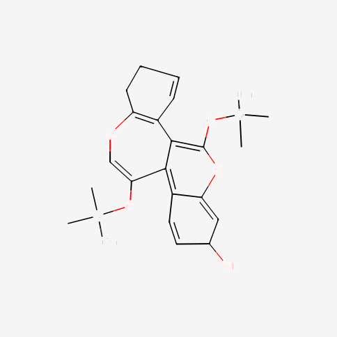 CC(C)(C)[Si](C)(C)OC1=COC2=C(C=CCC2)C2=C(O[Si](C)(C)C(C)(C)C)OC3=CC(O)C=CC3=C12